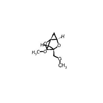 COC[C@]12CO[C@@]3(C[C@H]3O1)[C@H]2OC